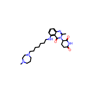 Cc1nc2cccc(NCCCCCCCN3CCCN(C)CC3)c2c(=O)n1C1CCC(=O)NC1=O